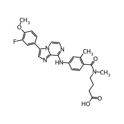 COc1ccc(-c2cnc3c(Nc4ccc(C(=O)N(C)CCCC(=O)O)c(C)c4)nccn23)cc1F